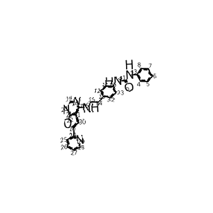 O=C(Nc1ccccc1)Nc1ccc(CCNc2ncnc3oc(-c4ccccn4)cc23)cc1